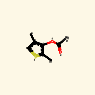 CCC(=O)Oc1c(C)csc1C